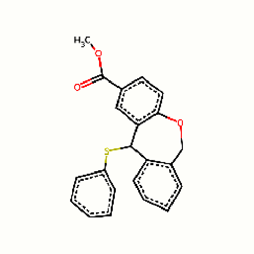 COC(=O)c1ccc2c(c1)C(Sc1ccccc1)c1ccccc1CO2